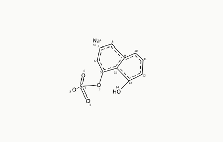 O=S(=O)([O-])Oc1cccc2cccc(O)c12.[Na+]